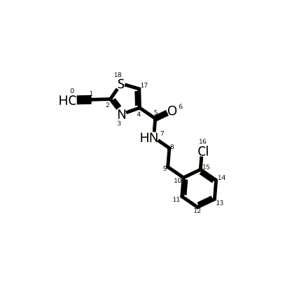 C#Cc1nc(C(=O)NCCc2ccccc2Cl)cs1